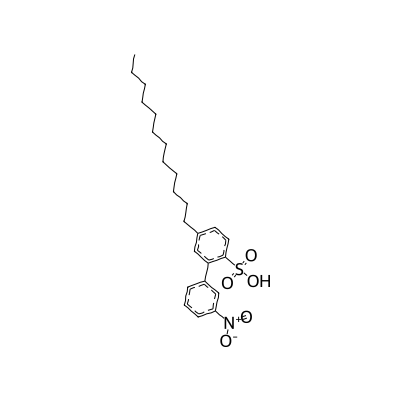 CCCCCCCCCCCCc1ccc(S(=O)(=O)O)c(-c2cccc([N+](=O)[O-])c2)c1